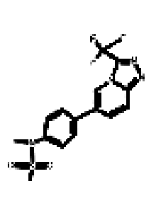 CN(c1ccc(-c2ccc3nnc(C(F)(F)F)n3c2)cc1)S(C)(=O)=O